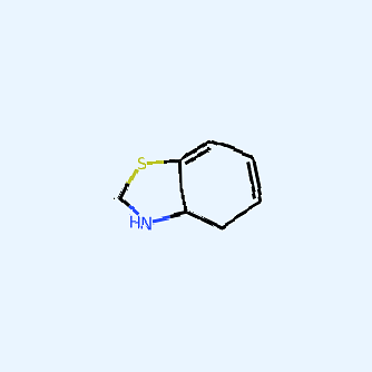 [CH]1NC2CC=CC=C2S1